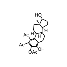 CC(=O)Oc1c(O)c2c(c(C(C)=O)c1C(C)=O)[C@H]1CC[C@]3(C)[C@@H](O)CC[C@H]3[C@@H]1CC2